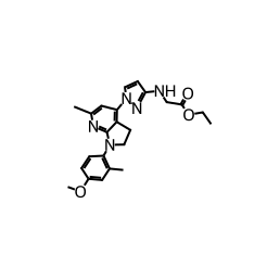 CCOC(=O)CNc1ccn(-c2cc(C)nc3c2CCN3c2ccc(OC)cc2C)n1